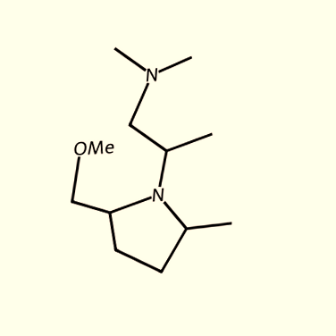 COCC1CCC(C)N1C(C)CN(C)C